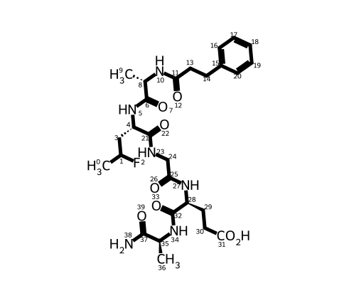 CC(F)C[C@H](NC(=O)[C@H](C)NC(=O)CCc1ccccc1)C(=O)NCC(=O)N[C@@H](CCC(=O)O)C(=O)N[C@@H](C)C(N)=O